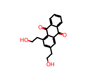 O=C1c2ccccc2C(=O)c2c(CCO)cc(CCO)cc21